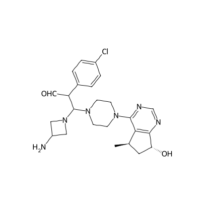 C[C@@H]1C[C@@H](O)c2ncnc(N3CCN(C(C(C=O)c4ccc(Cl)cc4)N4CC(N)C4)CC3)c21